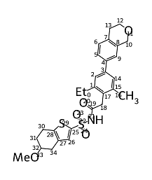 CCc1cc(-c2ccc3c(c2)COCC3)cc(C)c1CC(=O)NS(=O)(=O)c1cc2c(s1)CCC(OC)C2